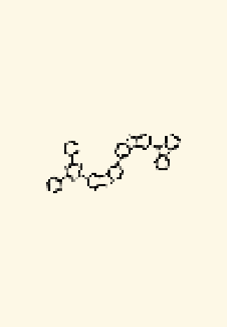 c1ccc(-c2nc(-c3ccccc3)nc(-c3ccc4oc5ccc(-c6ccc7sc8ccc(-n9c%10ccccc%10c%10ccccc%109)cc8c7c6)cc5c4c3)n2)cc1